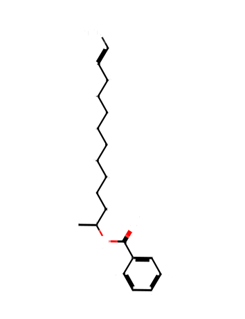 CCCCC=CCCCCCCCCCC(C)OC(=O)c1ccccc1